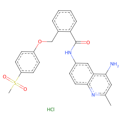 Cc1cc(N)c2cc(NC(=O)c3ccccc3COc3ccc(S(C)(=O)=O)cc3)ccc2n1.Cl